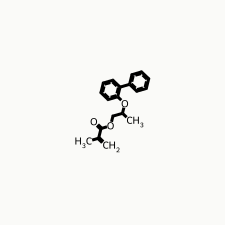 C=C(C)C(=O)OCC(C)Oc1ccccc1-c1ccccc1